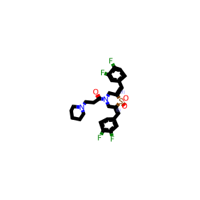 O=C(CCN1CCCCC1)N1C/C(=C\c2ccc(F)c(F)c2)S(=O)(=O)/C(=C/c2ccc(F)c(F)c2)C1